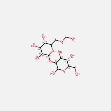 OCOCC1O[C@@H](O[C@@H]2C(O)OC(CO)[C@@H](O)C2O)[C@@H](O)C(O)[C@@H]1O